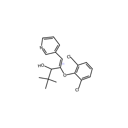 CC(C)(C)C(O)/C(=C\c1cccnc1)Oc1c(Cl)cccc1Cl